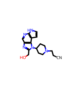 N#CCCN1CCC(n2c(CO)nc3cnc4[nH]ccc4c32)CC1